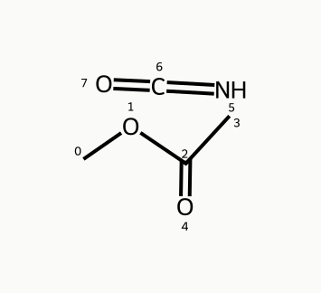 COC(C)=O.N=C=O